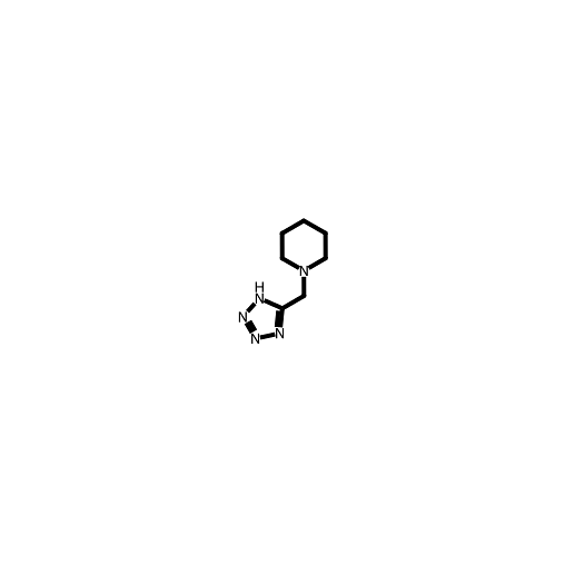 C1CCN(Cc2nnn[nH]2)CC1